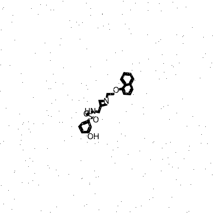 O=S(=O)(NCC1CN(CCOc2cccc3ccccc23)C1)c1cccc(O)c1